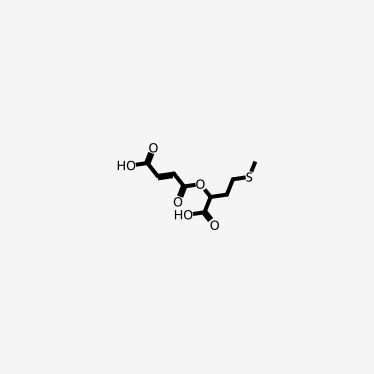 CSCCC(OC(=O)C=CC(=O)O)C(=O)O